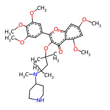 COc1cc(OC)c2c(=O)c(OC(C)(C)CC(C)(C)N(C)C3CCNCC3)c(-c3cc(OC)c(OC)c(OC)c3)oc2c1